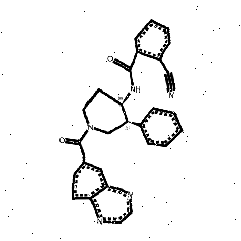 N#Cc1ccccc1C(=O)N[C@@H]1CCN(C(=O)c2ccc3nccnc3c2)C[C@@H]1c1ccccc1